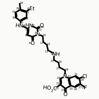 CCc1cc(Nc2cc(=O)n(CCCCNCCCCn3cc(C(=O)O)c(=O)c4cc(F)c(Cl)cc43)c(=O)[nH]2)ccc1C